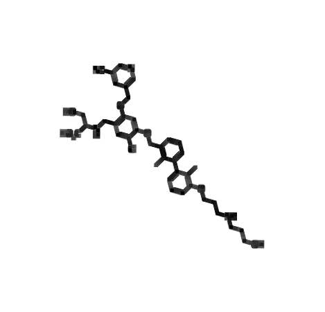 Cc1c(COc2cc(OCc3cncc(C#N)c3)c(CNC(CO)C(=O)O)cc2Cl)cccc1-c1cccc(OCCCNCCCO)c1C